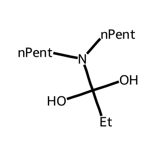 CCCCCN(CCCCC)C(O)(O)CC